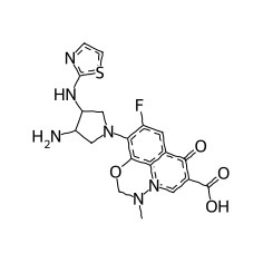 CN1COc2c(N3CC(N)C(Nc4nccs4)C3)c(F)cc3c(=O)c(C(=O)O)cn1c23